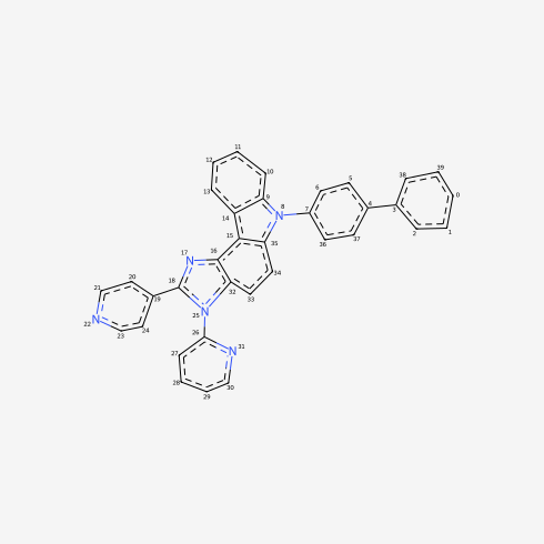 c1ccc(-c2ccc(-n3c4ccccc4c4c5nc(-c6ccncc6)n(-c6ccccn6)c5ccc43)cc2)cc1